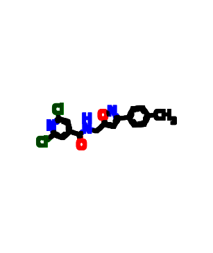 Cc1ccc(-c2cc(CNC(=O)c3cc(Cl)nc(Cl)c3)on2)cc1